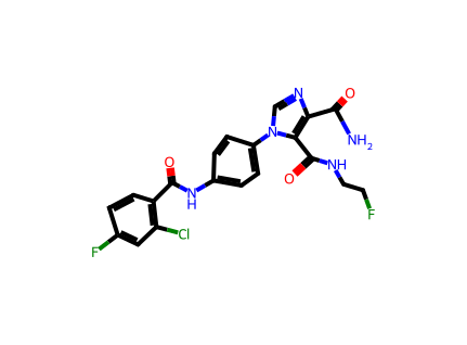 NC(=O)c1ncn(-c2ccc(NC(=O)c3ccc(F)cc3Cl)cc2)c1C(=O)NCCF